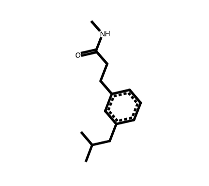 CNC(=O)CCc1cccc(CC(C)C)c1